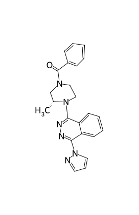 C[C@@H]1CN(C(=O)c2ccccc2)CCN1c1nnc(-n2cccn2)c2ccccc12